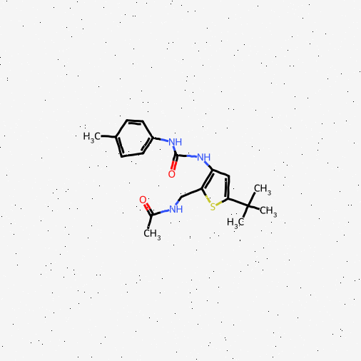 CC(=O)NCc1sc(C(C)(C)C)cc1NC(=O)Nc1ccc(C)cc1